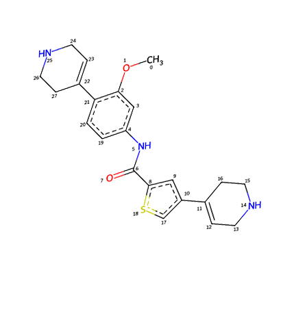 COc1cc(NC(=O)c2cc(C3=CCNCC3)cs2)ccc1C1=CCNCC1